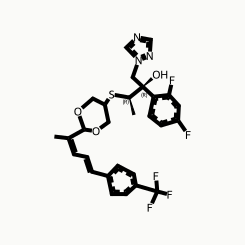 CC(=CC=Cc1ccc(C(F)(F)F)cc1)C1OCC(S[C@H](C)[C@](O)(Cn2cncn2)c2ccc(F)cc2F)CO1